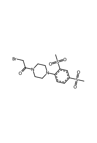 CS(=O)(=O)c1ccc(N2CCN(C(=O)CBr)CC2)c(S(C)(=O)=O)c1